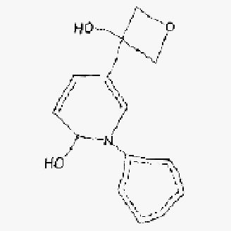 OC1C=CC(C2(O)COC2)=CN1c1ccccc1